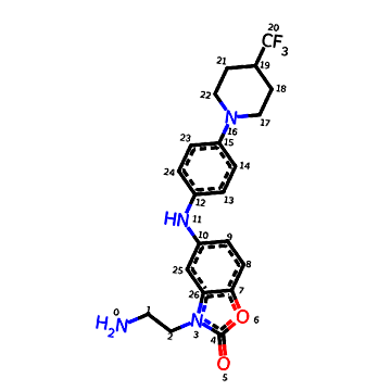 NCCn1c(=O)oc2ccc(Nc3ccc(N4CCC(C(F)(F)F)CC4)cc3)cc21